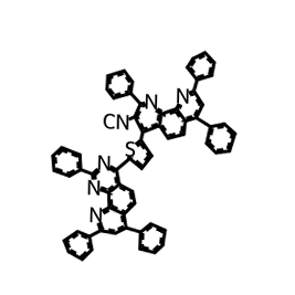 [C-]#[N+]c1c(-c2ccccc2)nc2c(ccc3c(-c4ccccc4)cc(-c4ccccc4)nc32)c1-c1ccc(-c2nc(-c3ccccc3)nc3c2ccc2c(-c4ccccc4)cc(-c4ccccc4)nc23)s1